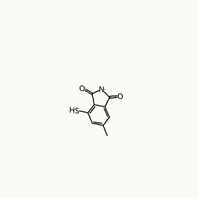 Cc1cc(S)c2c(c1)C(=O)[N]C2=O